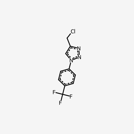 FC(F)(F)c1ccc(-n2cc(CCl)nn2)cc1